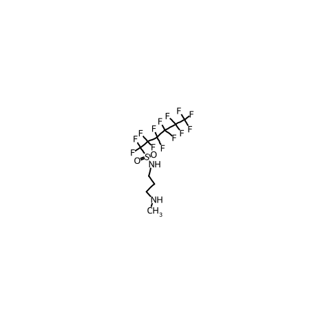 CNCCCNS(=O)(=O)C(F)(F)C(F)(F)C(F)(F)C(F)(F)C(F)(F)C(F)(F)F